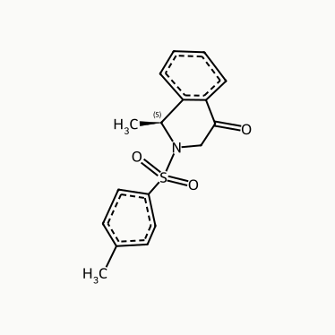 Cc1ccc(S(=O)(=O)N2CC(=O)c3ccccc3[C@@H]2C)cc1